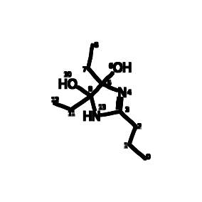 CCCC1=NC(O)(CC)C(O)(CC)N1